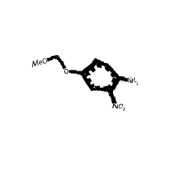 COCOc1ccc(N)c([N+](=O)[O-])c1